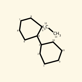 C1CCC(C2CCCCC2)CC1.CC